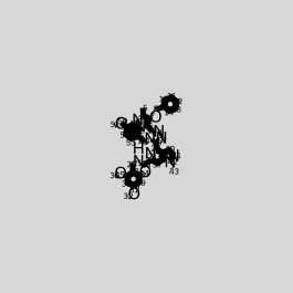 CCn1nc(C)c(OCc2ccccc2)c1-c1nnc(-c2nc(C(=O)NCc3ccc(OC)cc3OC)cc3c2cnn3C)n1Cc1ccc(OC)cc1